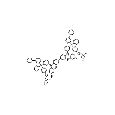 CCC1(COc2ccc(C3(c4ccccc4)c4cc(-c5ccccc5)ccc4-c4ccc(N(c5ccc(-c6ccc(N(c7ccc8c(c7)C(c7ccccc7)(c7ccc(OCC9(CC)COC9)cc7)c7cc(-c9ccccc9)ccc7-8)c7ccc(F)cc7F)cc6)cc5)c5ccc(F)cc5F)cc43)cc2)COC1